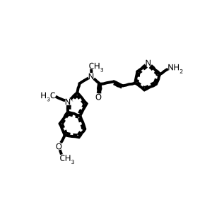 COc1ccc2cc(CN(C)C(=O)C=Cc3ccc(N)nc3)n(C)c2c1